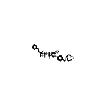 O=C(Nc1nnc(CCC2CCCC2)s1)C1CC(=O)N(c2ccc(CN3CCCOCC3)cc2)C1